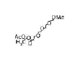 COCCOCCOCCOCCC(=O)OC(C)OC(C)=O